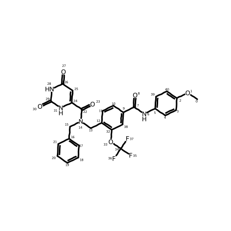 COc1ccc(NC(=O)c2ccc(CN(Cc3ccccc3)C(=O)c3cc(=O)[nH]c(=O)[nH]3)c(OC(F)(F)F)c2)cc1